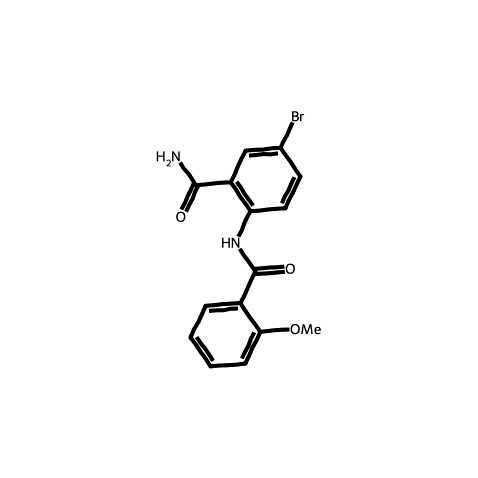 COc1ccccc1C(=O)Nc1ccc(Br)cc1C(N)=O